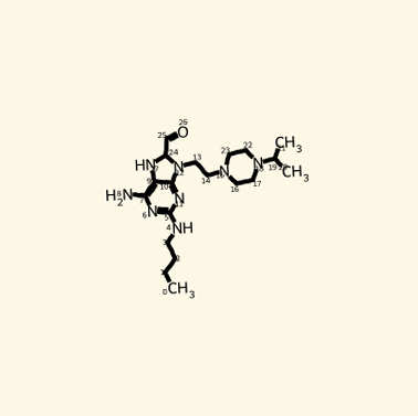 CCCCNc1nc(N)c2c(n1)N(CCN1CCN(C(C)C)CC1)C(C=O)N2